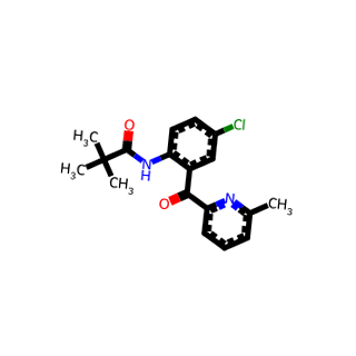 Cc1cccc(C(=O)c2cc(Cl)ccc2NC(=O)C(C)(C)C)n1